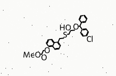 COC(=O)COc1cccc2c(CCSCC(O)COC(c3ccccc3)c3ccc(Cl)cc3)cccc12